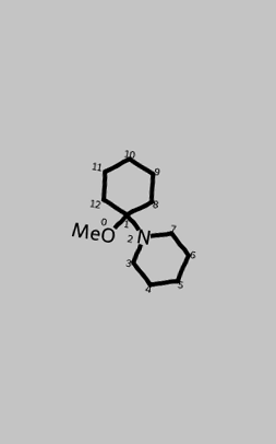 COC1(N2CCCCC2)CCCCC1